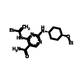 C=C(CC)Nc1nc(N[C@H]2CC[C@H](OCC)CC2)ncc1C(N)=O